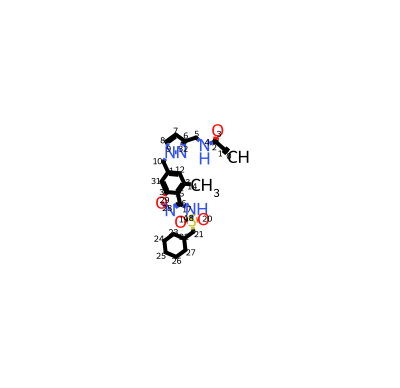 C#CC(=O)NCc1ccn(Cc2cc(C)c3c(NS(=O)(=O)CC4CCCCC4)noc3c2)n1